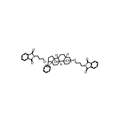 C[C@]12CC[C@H](OCCCN3C(=O)c4ccccc4C3=O)C[C@H]1CC[C@@H]1[C@@H]2CC[C@]2(C)[C@@](OCCCN3C(=O)c4ccccc4C3=O)(c3ccccc3)CC[C@]12O